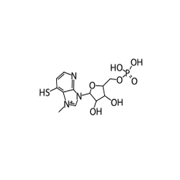 C[n+]1cn(C2OC(COP(=O)(O)O)C(O)C2O)c2nccc(S)c21